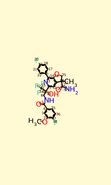 COc1cc(C(=O)NC[C@](O)(c2cc3c(c(-c4ccc(F)cc4)n2)OC[C@]3(C)C(N)=O)C(F)(F)F)ccc1F